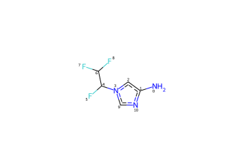 Nc1cn(C(F)C(F)F)cn1